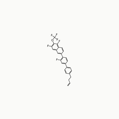 C=CCCc1ccc(-c2ccc(-c3ccc4c(F)c(OC(F)(F)F)c(F)cc4c3)c(F)c2)cc1